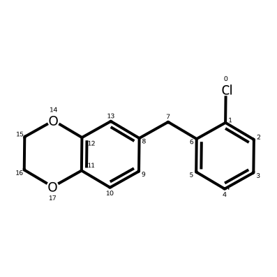 Clc1cc[c]cc1Cc1ccc2c(c1)OCCO2